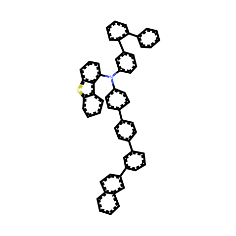 c1ccc(-c2ccccc2-c2cccc(N(c3ccc(-c4ccc(-c5cccc(-c6ccc7ccccc7c6)c5)cc4)cc3)c3cccc4sc5ccccc5c34)c2)cc1